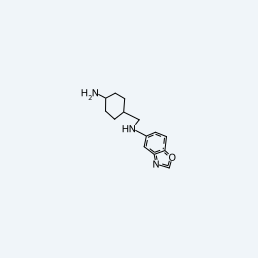 NC1CCC(CNc2ccc3ocnc3c2)CC1